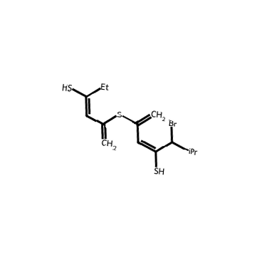 C=C(/C=C(/S)CC)SC(=C)/C=C(/S)C(Br)C(C)C